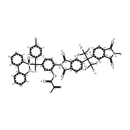 C=C(C)C(=O)Oc1cc(C(C)(c2ccc(C)cc2)P2(=O)Oc3ccccc3-c3ccccc32)ccc1N1C(=O)c2ccc(C(c3ccc4c(c3)C(=O)N(C)C4=O)(C(F)(F)F)C(F)(F)F)cc2C1=O